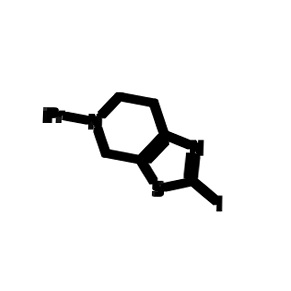 CC(C)N1CCc2nc(I)sc2C1